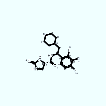 O=C1NC[C@@H](C(=O)NC(CC2CCCCC2)c2ccc(F)c(Cl)c2F)O1